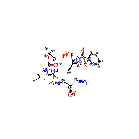 CC(C)C[C@H](NC(=O)OC(C)(C)C)C(=O)NCC(O)CNS(=O)(=O)c1ccccn1.NCC(O)CN